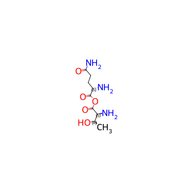 C[C@@H](O)[C@H](N)C(=O)OC(=O)[C@@H](N)CCC(N)=O